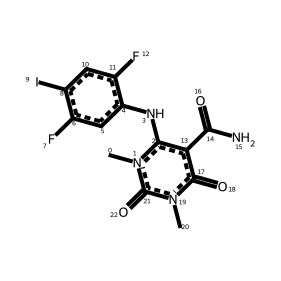 Cn1c(Nc2cc(F)c(I)cc2F)c(C(N)=O)c(=O)n(C)c1=O